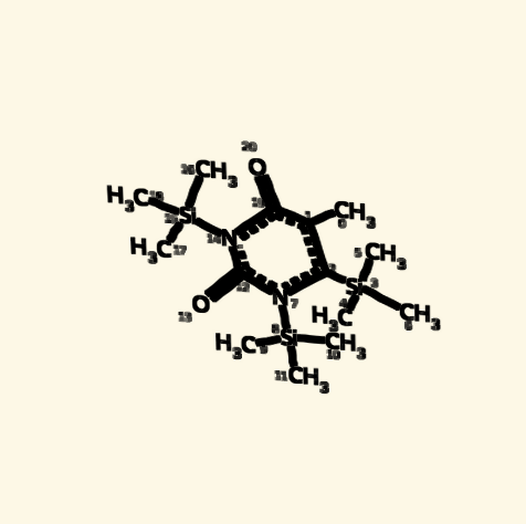 Cc1c([Si](C)(C)C)n([Si](C)(C)C)c(=O)n([Si](C)(C)C)c1=O